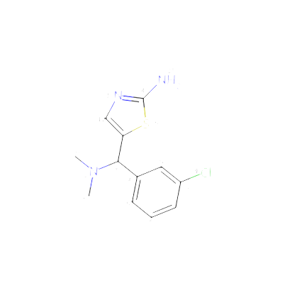 CN(C)C(c1cccc(Cl)c1)c1cnc(N)s1